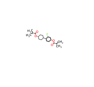 C=C(C)C(=O)Oc1ccc(C2CCC(OC(=O)C(=C)C)CC2)c(F)c1